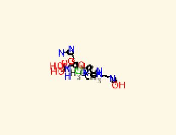 CN(C)c1c(COc2cc(OCc3cncc(C#N)c3)c(CNC(CO)C(=O)O)cc2Cl)cccc1-c1cccc2c1cnn2CCCCN1CC[C@@H](O)C1